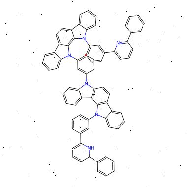 C1=CC(c2ccccc2)NC(c2cccc(-n3c4ccccc4c4ccc5c(c6ccccc6n5-c5cccc(-n6c7ccccc7c7ccc8c9ccccc9n(-c9cccc(-c%10cccc(-c%11ccccc%11)n%10)c9)c8c76)c5)c43)c2)=C1